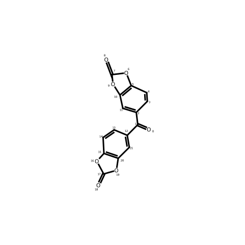 O=C(c1ccc2oc(=O)oc2c1)c1ccc2oc(=O)oc2c1